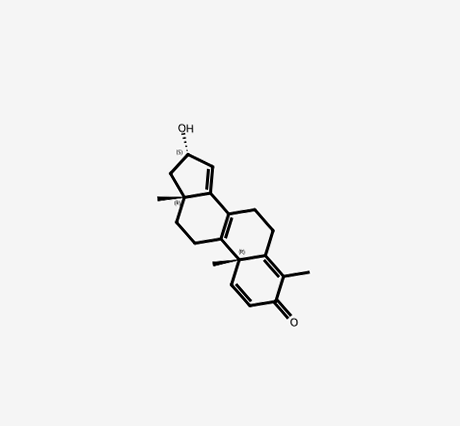 CC1=C2CCC3=C(CC[C@]4(C)C[C@H](O)C=C34)[C@@]2(C)C=CC1=O